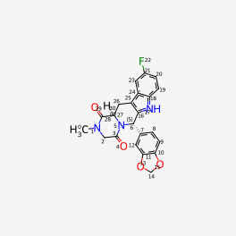 CN1CC(=O)N2[C@@H](c3ccc4c(c3)OCO4)c3[nH]c4ccc(F)cc4c3C[C@@H]2C1=O